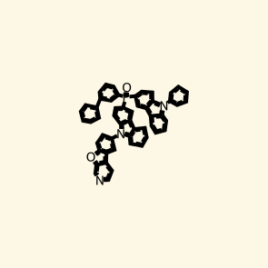 O=P(c1cccc(-c2ccccc2)c1)(c1ccc2c(c1)c1ccccc1n2-c1ccccc1)c1ccc2c(c1)c1ccccc1n2-c1ccc2oc3cnccc3c2c1